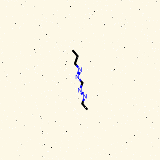 CCCN=NCN=NCC